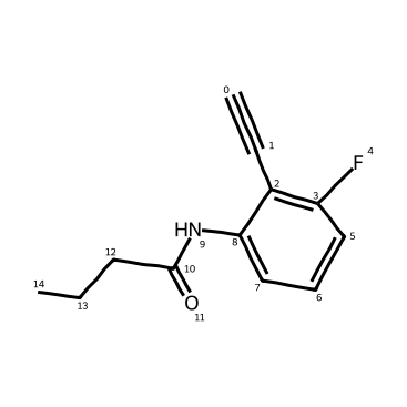 C#Cc1c(F)cccc1NC(=O)CCC